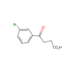 O=C(O)CCC(=O)c1cccc(Br)c1